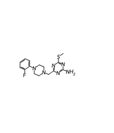 CSc1nc(N)nc(CN2CCN(c3ccccc3F)CC2)n1